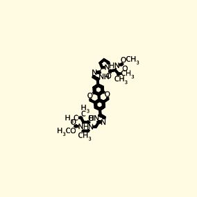 CCCN(Cc1ncc(-c2cc3c4c(c2)COc2cc(-c5cnc([C@@H]6CCCN6C(=O)[C@@H](NC(=O)OC)C(C)C)[nH]5)cc(c2-4)OC3)[nH]1)C(=O)[C@@H](NC(=O)OC)C(C)C